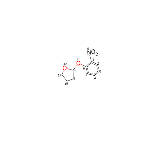 O=[N+]([O-])c1ccccc1OC1CCCO1